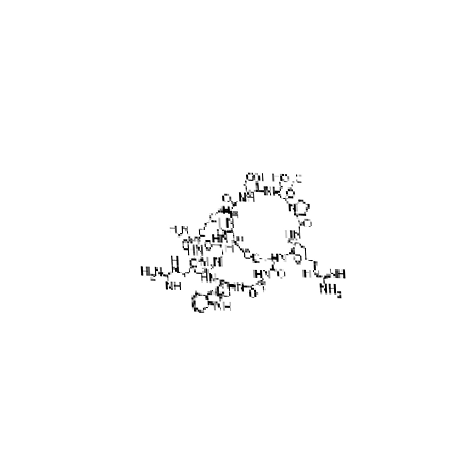 C[C@@H]1NC(=O)C2CCCC[C@H](NC(=O)CN)C(=O)N[C@@H](CCCC[C@@H](C(N)=O)NC(=O)[C@H](CCCNC(=N)N)NC(=O)[C@H](Cc3cc4ccccc4[nH]3)NC1=O)C(=O)N[C@@H](CO)C(=O)N[C@@H](CC(=O)O)C(=O)N1CCCC1C(=O)N[C@@H](CCCNC(=N)N)C(=O)N2